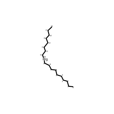 CCCCCCCCC[CH2][Mg][CH2]CCCCCCC